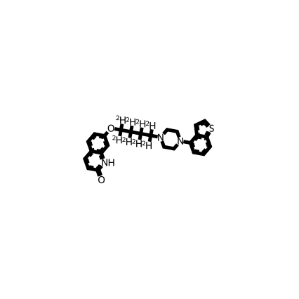 [2H]C([2H])(Oc1ccc2ccc(=O)[nH]c2c1)C([2H])([2H])C([2H])([2H])C([2H])([2H])N1CCN(c2cccc3sccc23)CC1